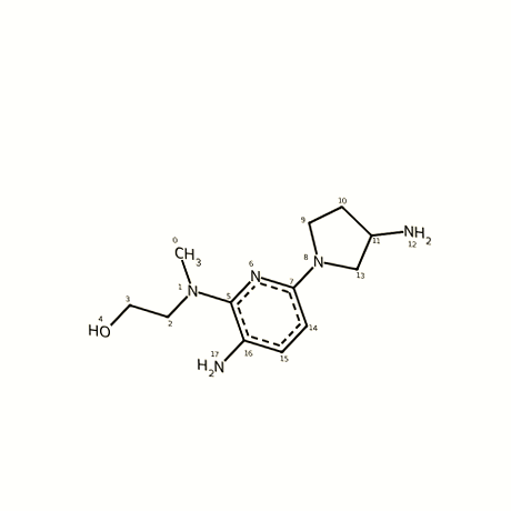 CN(CCO)c1nc(N2CCC(N)C2)ccc1N